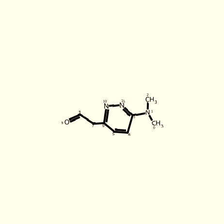 CN(C)c1ccc(CC=O)nn1